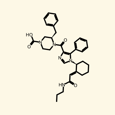 CCCNC(=O)/C=C1\CCCC[C@@H]1n1cnc(C(=O)N2CCN(C(=O)O)C[C@H]2Cc2ccccc2)c1-c1ccccc1